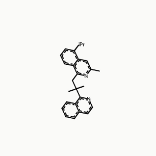 Cc1cc2c(C(C)C)cccc2c(CC(C)(C)c2nccc3ccccc23)n1